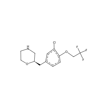 FC(F)(F)COc1ccc(C[C@@H]2CNCCO2)cc1Cl